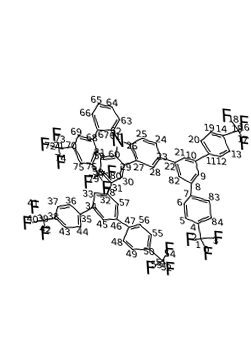 FC(F)(F)c1ccc(-c2cc(-c3ccc(C(F)(F)F)cc3)cc(-c3ccc4c(c3)c3cc(-c5cc(-c6ccc(C(F)(F)F)cc6)cc(-c6ccc(C(F)(F)F)cc6)c5)ccc3n4-c3ccccc3-c3cc(C(F)(F)F)cc(C(F)(F)F)c3)c2)cc1